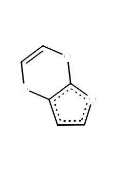 C1=COc2occc2O1